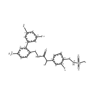 CC(C(=O)NCc1ccc(C(F)(F)F)nc1-c1cc(F)cc(F)c1)c1ccc(CNS(C)(=O)=O)c(F)c1